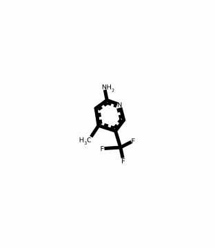 Cc1cc(N)ncc1C(F)(F)F